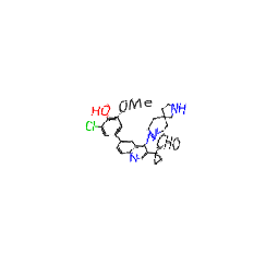 COc1cc(-c2ccc3ncc(C4(C=O)CC4)c(N4CCC5(CCNC5)CC4)c3c2)cc(Cl)c1O